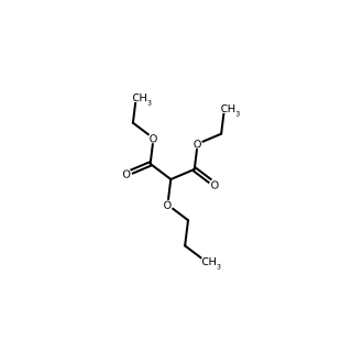 CCCOC(C(=O)OCC)C(=O)OCC